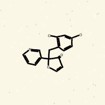 O=C1C=COC1(Cc1ccc(Cl)cc1Cl)c1cccnc1